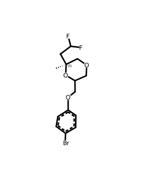 C[C@]1(CC(F)F)COCC(COc2ccc(Br)cc2)O1